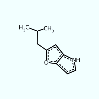 CC(C)Cc1cc2[nH]ccc2o1